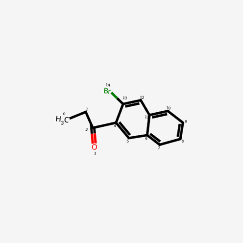 CCC(=O)c1cc2ccccc2cc1Br